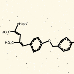 CCCCCCCC(=CC(=Cc1ccc(OCc2ccc(C)cc2)cc1)C(=O)O)C(=O)O